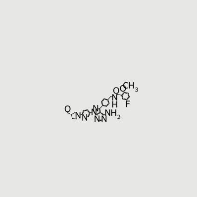 COc1ccc(F)cc1C(=O)NCc1ccc(-c2nn(-c3ccc(N4CC[C@@H](C=O)C4)nc3)c3ncnc(N)c23)cc1